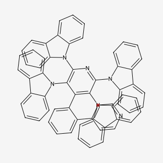 c1ccc(-c2c(-n3c4ccccc4c4ccccc43)c(-n3c4ccccc4c4ccccc43)nc(-n3c4ccccc4c4ccccc43)c2-n2c3ccccc3c3ccccc32)c(-c2ccncc2)c1